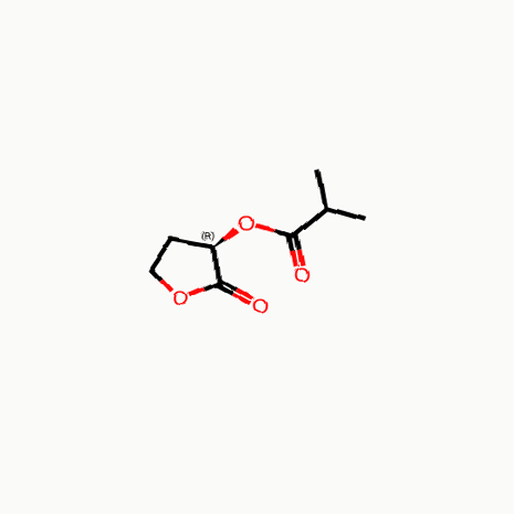 CC(C)C(=O)O[C@@H]1CCOC1=O